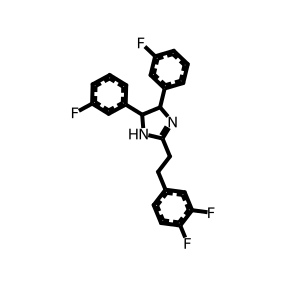 Fc1cccc(C2N=C(CCc3ccc(F)c(F)c3)NC2c2cccc(F)c2)c1